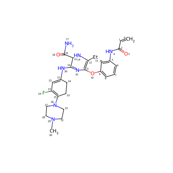 C=CC(=O)Nc1cccc(OC2=C(CC)NC(C(N)=O)C(NC3=CC(F)=C(N4CCN(C)CC4)CC3)=N2)c1